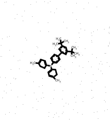 CC1=CC=C(N(C2=CC=C(C)CC2)c2ccc(-c3cc(C(C)(C)C)cc(C(C)(C)C)c3)cc2)CC1